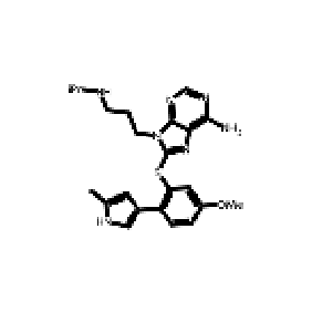 COc1ccc(-c2c[nH]c(C)c2)c(Sc2nc3c(N)ncnc3n2CCCNC(C)C)c1